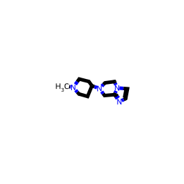 CN1CCC(N2CCn3ccnc3C2)CC1